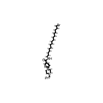 CC(C)CN1CCN(c2ccc(C(=O)NCCCCCCCCCCCCCCCCCBr)cn2)CC1